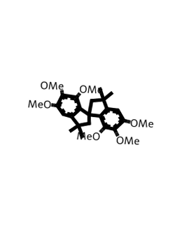 COc1cc2c(c(OC)c1OC)C1(CC2(C)C)CC(C)(C)c2cc(OC)c(OC)c(OC)c21